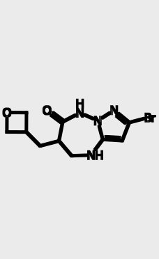 O=C1Nn2nc(Br)cc2NCC1CC1COC1